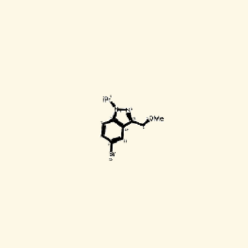 COCc1nn(C(C)C)c2ccc(Br)cc12